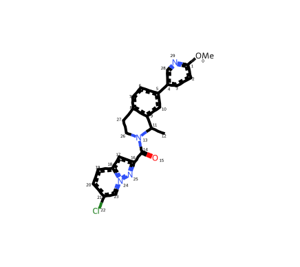 COc1ccc(-c2ccc3c(c2)C(C)N(C(=O)c2cc4ccc(Cl)cn4n2)CC3)cn1